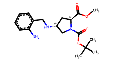 COC(=O)[C@@H]1C[C@@H](NCc2ccccc2N)CN1C(=O)OC(C)(C)C